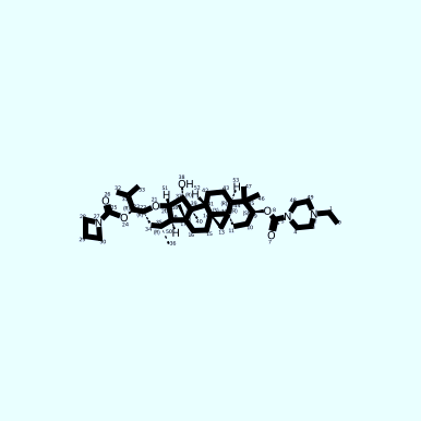 CCN1CCN(C(=O)O[C@H]2CC[C@]34C[C@]35CC[C@]3(C)[C@@H]6[C@H](O[C@@H]([C@H](OC(=O)N7CCC7)C(C)C)C[C@H]6C)[C@H](O)[C@@]3(C)[C@@H]5CC[C@H]4C2(C)C)CC1